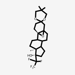 CC1(C)COC2(CC[C@]34OC3(CCC3C5CC[C@@](O)(C(F)(F)C(F)(F)F)[C@@]5(C)CCC34)C2)OC1